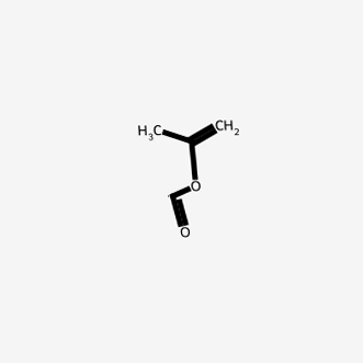 C=C(C)O[C]=O